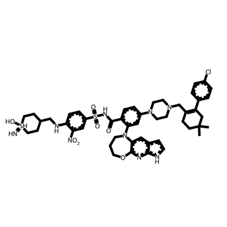 CC1(C)CCC(CN2CCN(c3ccc(C(=O)NS(=O)(=O)c4ccc(NCC5CC[SH](=N)(O)CC5)c([N+](=O)[O-])c4)c(N4CCCOc5nc6[nH]ccc6cc54)c3)CC2)=C(c2ccc(Cl)cc2)C1